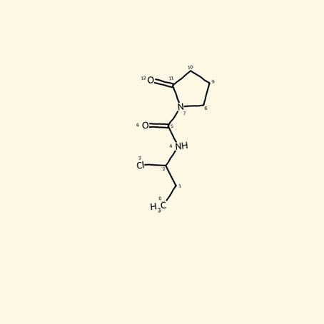 CCC(Cl)NC(=O)N1CCCC1=O